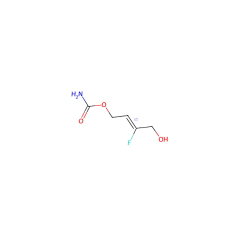 NC(=O)OC/C=C(\F)CO